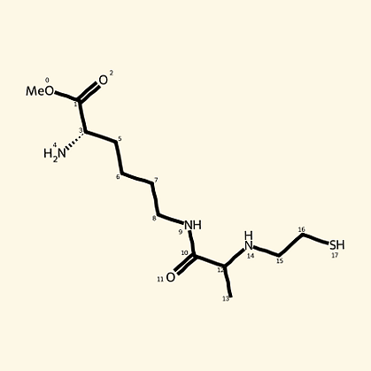 COC(=O)[C@@H](N)CCCCNC(=O)C(C)NCCS